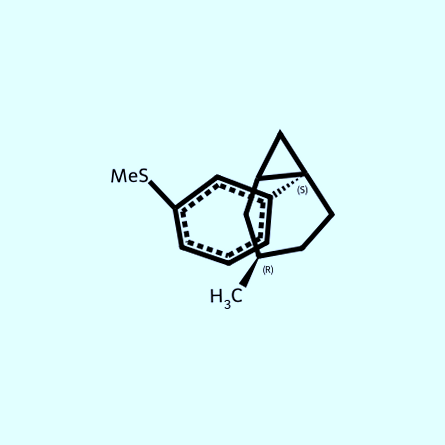 CSc1cccc([C@]23CC[C@@H](C)CC2C3)c1